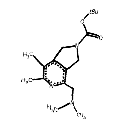 Cc1nc(CN(C)C)c2c(c1C)CN(C(=O)OC(C)(C)C)C2